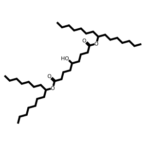 CCCCCCCC(CCCCCCC)OC(=O)CCCC(O)CCCC(=O)OC(CCCCCCC)CCCCCCC